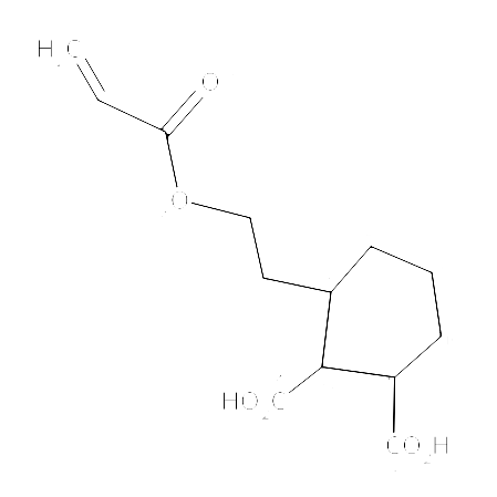 C=CC(=O)OCCC1CCCC(C(=O)O)C1C(=O)O